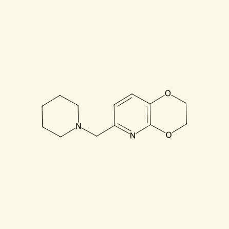 c1cc2c(nc1CN1CCCCC1)OCCO2